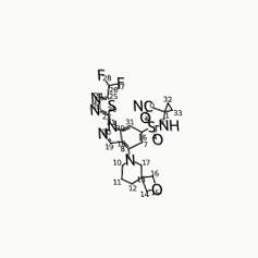 N#CC1(NS(=O)(=O)c2cc(N3CCCC4(COC4)C3)c3cnn(-c4nnc(C(F)F)s4)c3c2)CC1